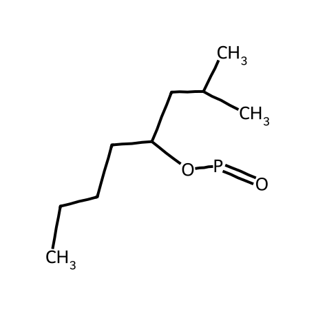 CCCCC(CC(C)C)OP=O